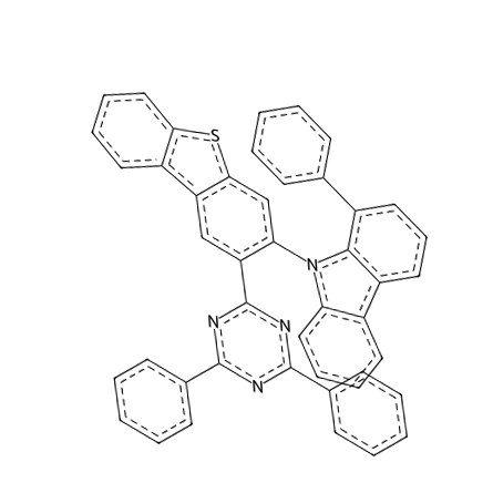 c1ccc(-c2nc(-c3ccccc3)nc(-c3cc4c(cc3-n3c5ccccc5c5cccc(-c6ccccc6)c53)sc3ccccc34)n2)cc1